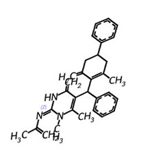 C=C(C)/N=C1/NC(=C)C(C(C2=C(C)CC(c3ccccc3)CC2=C)c2ccccc2)=C(C)N1C